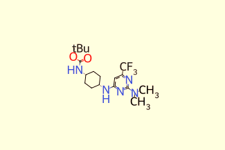 CN(C)c1nc(N[C@H]2CC[C@@H](NC(=O)OC(C)(C)C)CC2)cc(C(F)(F)F)n1